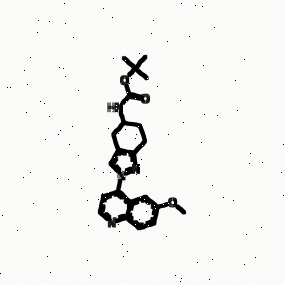 COc1ccc2nccc(-n3cc4c(n3)CCC(NC(=O)OC(C)(C)C)C4)c2c1